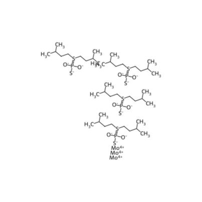 CC(C)CCS(CCC(C)C)=P([O-])([O-])[S-].CC(C)CCS(CCC(C)C)=P([O-])([O-])[S-].CC(C)CCS(CCC(C)C)=P([O-])([O-])[S-].CC(C)CCS(CCC(C)C)=P([O-])([O-])[S-].[Mo+4].[Mo+4].[Mo+4]